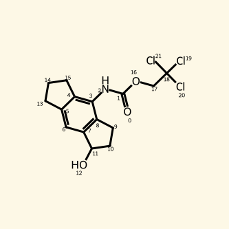 O=C(Nc1c2c(cc3c1CCC3O)CCC2)OCC(Cl)(Cl)Cl